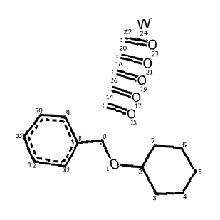 [C](OC1CCCCC1)c1ccccc1.[C]=O.[C]=O.[C]=O.[C]=O.[C]=O.[W]